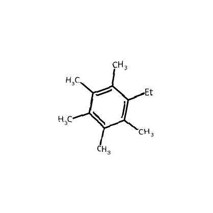 [CH2]Cc1c(C)c(C)c(C)c(C)c1C